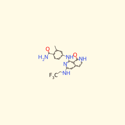 Cc1cc(Nc2nc(NCC(F)(F)F)cc3cc[nH]c(=O)c23)ccc1C(N)=O